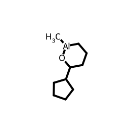 [CH3][Al]1[CH2]CCC(C2CCCC2)[O]1